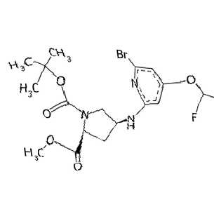 COC(=O)[C@@H]1C[C@H](Nc2cc(OC(F)F)cc(Br)n2)CN1C(=O)OC(C)(C)C